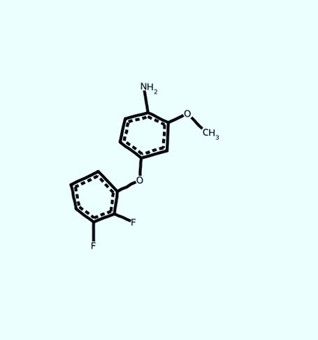 COc1cc(Oc2cccc(F)c2F)ccc1N